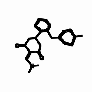 Cc1ccc(Cc2ccccc2C2CC(=O)C(=CN(C)C)C(=O)C2)cc1